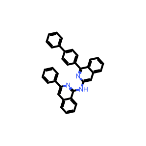 c1ccc(-c2ccc(-c3nc(Nc4nc(-c5ccccc5)cc5ccccc45)cc4ccccc34)cc2)cc1